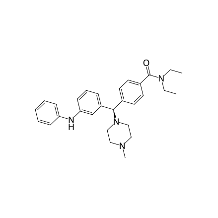 CCN(CC)C(=O)c1ccc([C@H](c2cccc(Nc3ccccc3)c2)N2CCN(C)CC2)cc1